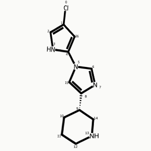 Clc1c[nH]c(-n2cnc([C@H]3CCCNC3)c2)c1